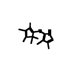 CC1=C(C)C(C)(C)[C]([Ti][c]2[nH]cc(C)c2C)=C1C